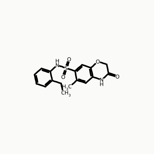 CCc1ccccc1NS(=O)(=O)c1cc2c(cc1C)NC(=O)CO2